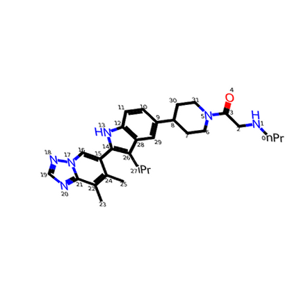 CCCNCC(=O)N1CCC(c2ccc3[nH]c(-c4cn5ncnc5c(C)c4C)c(C(C)C)c3c2)CC1